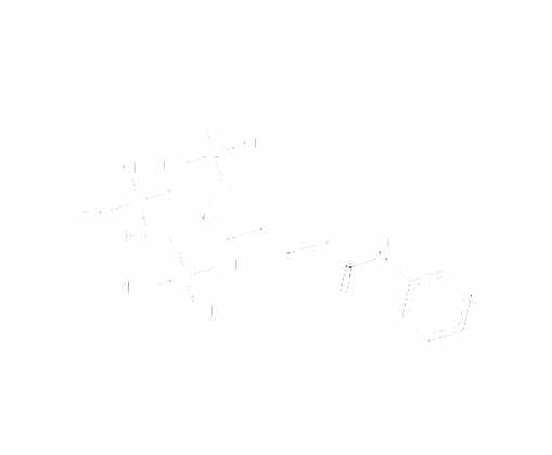 C[Si](C)(C)O[Si](CCCOC(=O)Nc1ccccc1)(O[Si](C)(C)C)O[Si](C)(C)C